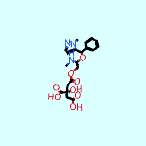 CNC(COC(=O)C[C@](O)(CC(=O)O)C(=O)O)OC(c1ccccc1)c1ccnn1C